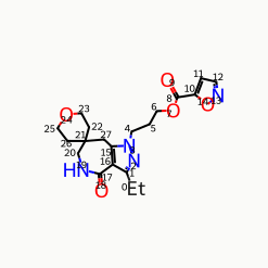 CCc1nn(CCCOC(=O)c2ccno2)c2c1C(=O)NCC1(CCOCC1)C2